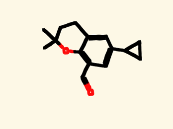 CC1(C)CCc2cc(C3CC3)cc(C=O)c2O1